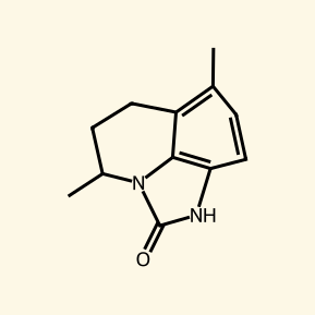 Cc1ccc2[nH]c(=O)n3c2c1CCC3C